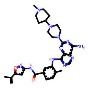 C=C(C)c1cc(NC(=O)c2ccc(C)c(Nc3ncnc4c(N)nc(N5CCN(C6CCN(C)CC6)CC5)nc34)c2)no1